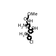 COCCC(=O)NCc1ccc(-c2cc(N(C)c3ccc(Cl)cc3)ccc2O)nc1N